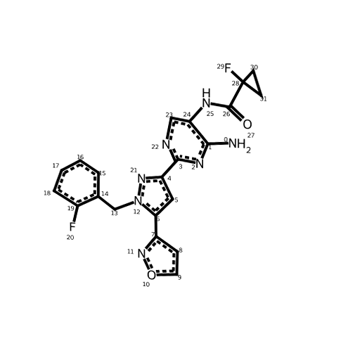 Nc1nc(-c2cc(-c3ccon3)n(Cc3ccccc3F)n2)ncc1NC(=O)C1(F)CC1